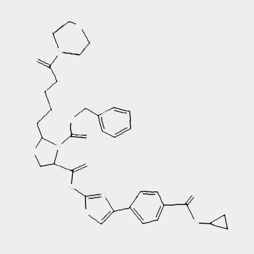 O=C(NC1CC1)c1ccc(-c2csc(NC(=O)C3CSC(CCCCC(=O)N4CCOCC4)N3C(=O)OCc3ccccc3)n2)cc1